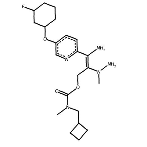 CN(CC1CCC1)C(=O)OC/C(=C(/N)c1ccc(OC2CCCC(F)C2)cn1)N(C)N